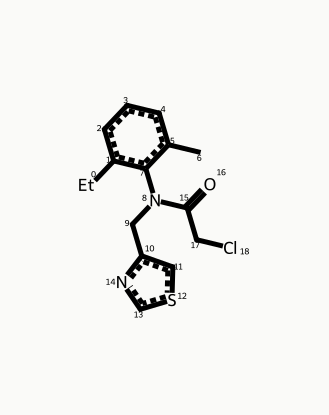 CCc1cccc(C)c1N(Cc1cscn1)C(=O)CCl